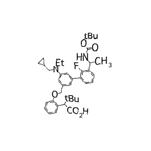 CCN(CC1CC1)c1cc(COc2ccccc2[C@H](C(=O)O)C(C)(C)C)cc(-c2cccc(C(C)NC(=O)OC(C)(C)C)c2F)c1